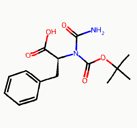 CC(C)(C)OC(=O)N(C(N)=O)[C@@H](Cc1ccccc1)C(=O)O